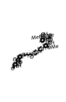 COc1cc(N2CCC(N3CCN(C(=O)CCCCOc4ccc5c(c4)C(=O)N(C4CCC(=O)NC4=O)C5=O)CC3)CC2)ccc1Nc1ncc(Cl)c(Nc2ccccc2P(=O)(OC)OC)n1